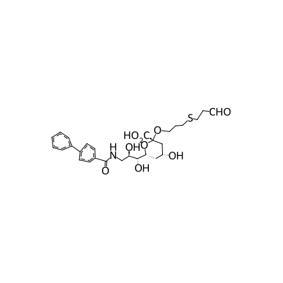 O=CCCSCCCO[C@]1(C(=O)O)C[C@H](O)C[C@H]([C@H](O)[C@H](O)CNC(=O)c2ccc(-c3ccccc3)cc2)O1